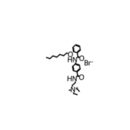 CCCCCCCOc1ccccc1C(=O)Nc1ccc(C(=O)NCC[N+](C)(CC)CC)cc1.[Br-]